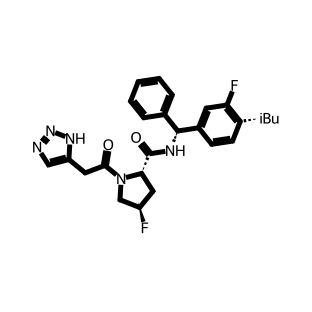 CC[C@@H](C)c1ccc([C@H](NC(=O)[C@@H]2C[C@@H](F)CN2C(=O)Cc2cnn[nH]2)c2ccccc2)cc1F